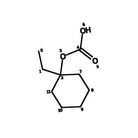 CCC1(OC(=O)O)CCCCC1